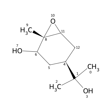 CC(C)(O)[C@H]1CC(O)[C@]2(C)OC2C1